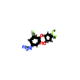 Nc1ccc(O[C@H]2CC(F)(F)C[C@H]2O)c(F)c1